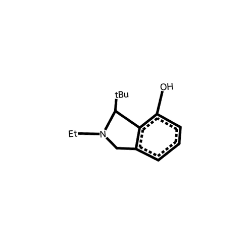 CCN1Cc2cccc(O)c2C1C(C)(C)C